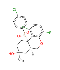 O=S(=O)(c1ccc(Cl)cc1)[C@@]12CC[C@@](O)(C(F)(F)F)C[C@@H]1COc1c(F)ccc(F)c12